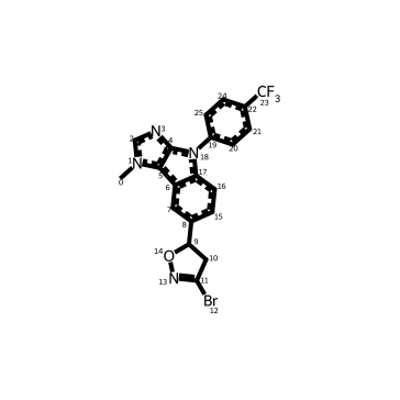 Cn1cnc2c1c1cc(C3CC(Br)=NO3)ccc1n2-c1ccc(C(F)(F)F)cc1